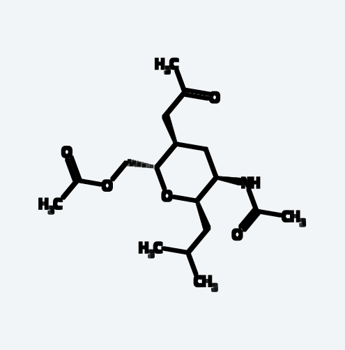 CC(=O)C[C@H]1C[C@@H](NC(C)=O)[C@@H](CC(C)C)O[C@@H]1COC(C)=O